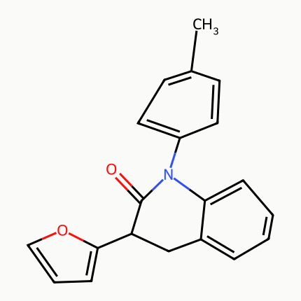 Cc1ccc(N2C(=O)C(c3ccco3)Cc3ccccc32)cc1